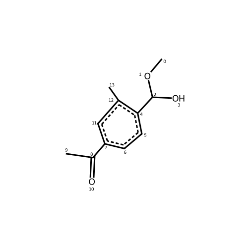 COC(O)c1ccc(C(C)=O)cc1C